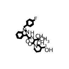 CC(C)(C)C(NC(=O)c1nn(Cc2ccc(F)cc2)c2ccccc12)C(=O)N1CCCC(CO)C1